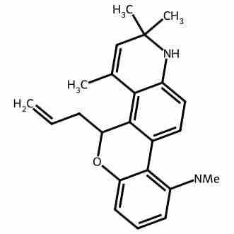 C=CCC1Oc2cccc(NC)c2-c2ccc3c(c21)C(C)=CC(C)(C)N3